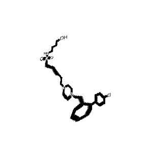 O=S(=O)(CCCCCN1CCN(Cc2ccccc2-c2ccc(Cl)cc2)CC1)NCCCCO